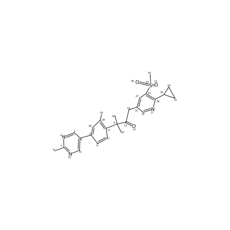 Cc1ncc(-c2ccc(C(C)(C)C(=O)Cc3cnc(C4CC4)c(S(C)(=O)=O)c3)c(C)c2)cn1